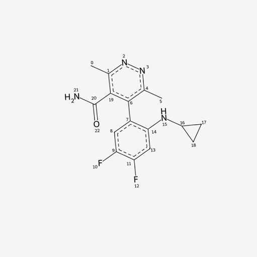 Cc1nnc(C)c(-c2cc(F)c(F)cc2NC2CC2)c1C(N)=O